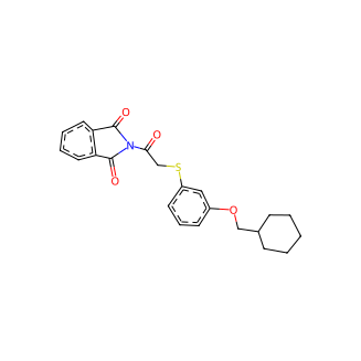 O=C(CSc1cccc(OCC2CCCCC2)c1)N1C(=O)c2ccccc2C1=O